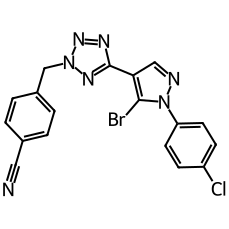 N#Cc1ccc(Cn2nnc(-c3cnn(-c4ccc(Cl)cc4)c3Br)n2)cc1